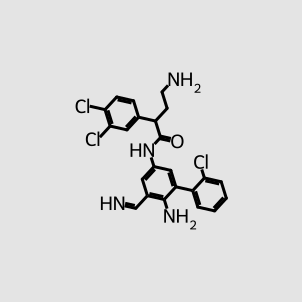 N=Cc1cc(NC(=O)C(CCN)c2ccc(Cl)c(Cl)c2)cc(-c2ccccc2Cl)c1N